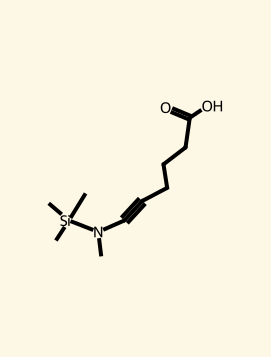 CN(C#CCCCC(=O)O)[Si](C)(C)C